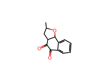 CC1CC2C(=O)C(=O)c3ccccc3C2O1